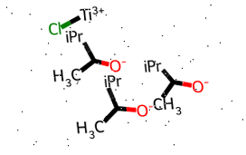 CC(C)C(C)[O-].CC(C)C(C)[O-].CC(C)C(C)[O-].[Cl][Ti+3]